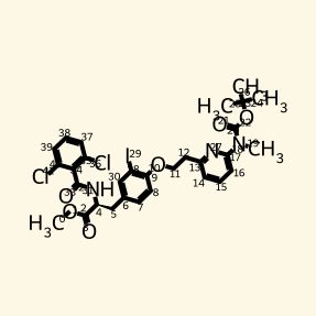 COC(=O)[C@H](Cc1ccc(OCCc2cccc(N(C)C(=O)OC(C)(C)C)n2)c(I)c1)NC(=O)c1c(Cl)cccc1Cl